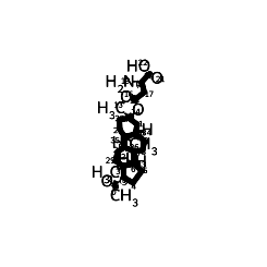 CC(=O)[C@H]1CC[C@H]2[C@@H]3CC[C@H]4C[C@](C)(OC(=O)C[C@H](N)C(=O)O)CC[C@]4(C)[C@H]3CC[C@]12C